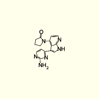 Nc1nccc(-c2c[nH]c3nccc(N4CCCC4=O)c23)n1